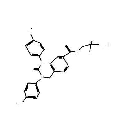 CC(C)(C)c1ccc(N(Cc2ccc(C(=O)NCC(F)(F)C(=O)O)cc2)C(=O)Nc2ccc(OC(F)(F)F)cc2)cc1